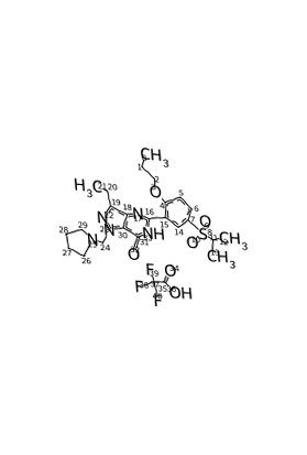 CCCOc1ccc(S(=O)(=O)C(C)C)cc1-c1nc2c(CC)nn(CN3CCCC3)c2c(=O)[nH]1.O=C(O)C(F)(F)F